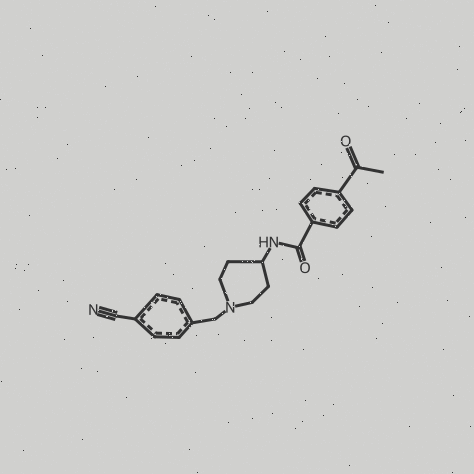 CC(=O)c1ccc(C(=O)NC2CCN(Cc3ccc(C#N)cc3)CC2)cc1